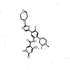 C[C@H]1CN(c2cc(F)c(-c3cnc(N4CCOCC4)s3)cc2NC(=O)c2c[nH]c(=O)cc2C(F)(F)F)CCN1C